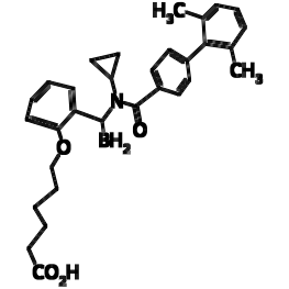 BC(c1ccccc1OCCCCCC(=O)O)N(C(=O)c1ccc(-c2c(C)cccc2C)cc1)C1CC1